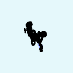 C=C/C=C\C=C(/C)C[C@H]1C(=O)N([C@@H](C)c2ccccc2)C[C@H]2N1C(=O)CN2N(C)C(=O)NCc1ccccc1